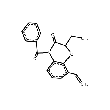 C=Cc1cccc2c1OC(CC)C(=O)N2C(=O)c1ccccc1